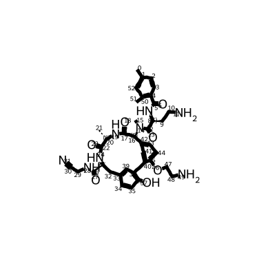 Cc1ccc(C(=O)N[C@@H](CCN)C(=O)N(C)[C@@H]2C(=O)N[C@@H](C)C(=O)N[C@H](C(=O)NCC#N)Cc3ccc(O)c(c3)-c3cc2ccc3OCCN)c(C)c1